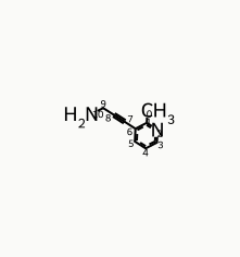 Cc1ncccc1C#CCN